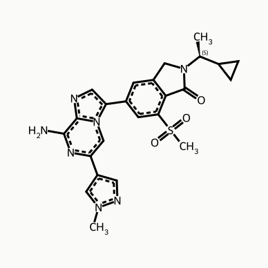 C[C@@H](C1CC1)N1Cc2cc(-c3cnc4c(N)nc(-c5cnn(C)c5)cn34)cc(S(C)(=O)=O)c2C1=O